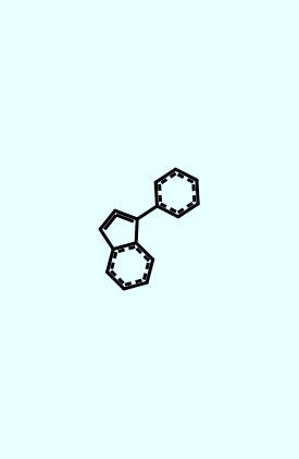 C1=Cc2ccccc2C=1c1ccccc1